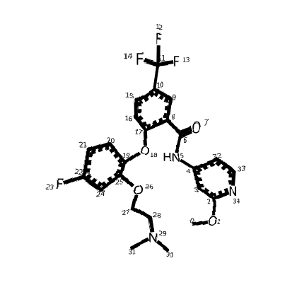 COc1cc(NC(=O)c2cc(C(F)(F)F)ccc2Oc2ccc(F)cc2OCCN(C)C)ccn1